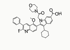 COc1c(-c2c(C3CCCCC3)c3ccc(C(=O)O)cc3n2CC(=O)N2CCOCC2)ccc2nc(F)c(-c3ccccc3)cc12